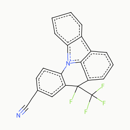 N#Cc1ccc2c(c1)C(F)(C(F)(F)F)c1cccc3c4ccccc4n-2c13